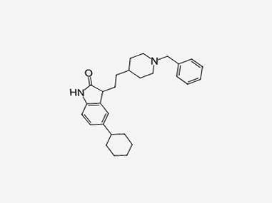 O=C1Nc2ccc(C3CCCCC3)cc2C1CCC1CCN(Cc2ccccc2)CC1